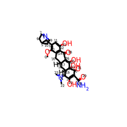 COc1c(C2C3CCN2CC3)cc(O)c2c1C[C@H]1C[C@H]3[C@H](N(C)C)C(O)=C(C(N)=O)C(=O)[C@@]3(O)C(O)=C1C2=O